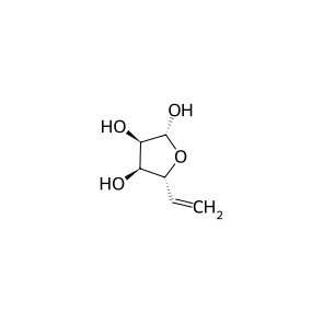 C=C[C@H]1O[C@@H](O)[C@H](O)[C@@H]1O